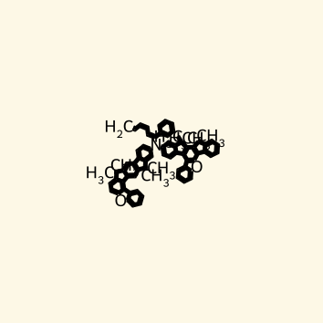 C=C/C=C\C=C(/c1ccccc1)N(c1ccc2c(c1)C(C)(C)c1cc3c(cc1-2)C(C)(C)c1ccc2oc4ccccc4c2c1-3)c1ccc2c(c1)C(C)(C)c1c3c(c4oc5ccccc5c4c1-2)-c1ccccc1C3(C)C